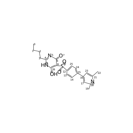 CCCCc1nc(=O)c(S(=O)(=O)c2ccc(-c3cc(C)nc(C)c3)cc2)c(O)[nH]1